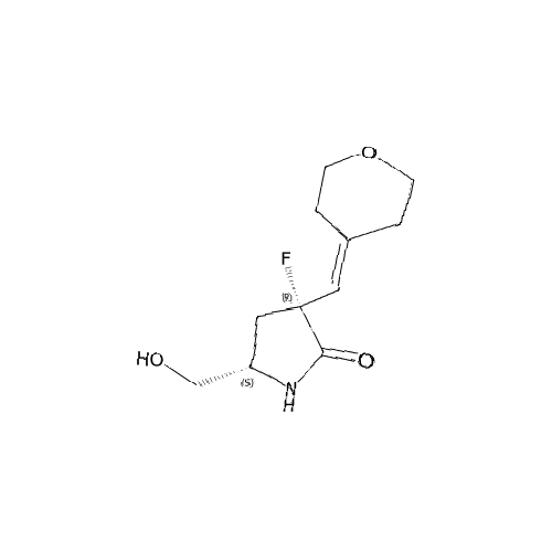 O=C1N[C@H](CO)C[C@@]1(F)C=C1CCOCC1